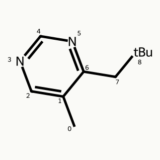 Cc1cncnc1CC(C)(C)C